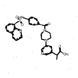 CC(C(=O)O)c1cncc(N2CCN(C(=O)c3ccc(NS(=O)(=O)c4cccc5cccnc45)cc3)CC2)c1